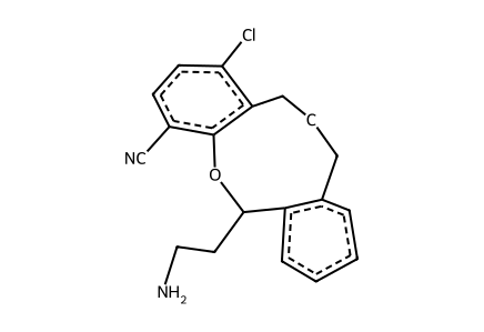 N#Cc1ccc(Cl)c2c1OC(CCN)c1ccccc1CCC2